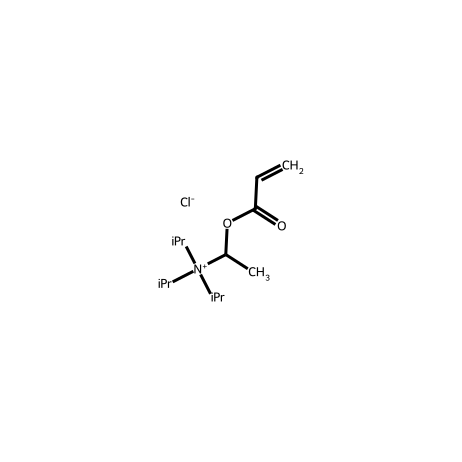 C=CC(=O)OC(C)[N+](C(C)C)(C(C)C)C(C)C.[Cl-]